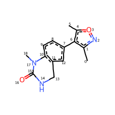 Cc1noc(C)c1-c1ccc2c(c1)CNC(=O)N2C